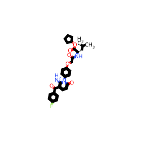 CC(C)C[C@H](NC(=O)COc1ccc(-n2c(N)c(C(=O)c3ccc(F)cc3)ccc2=O)cc1)C(=O)OC1CCCC1